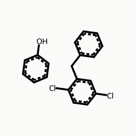 Clc1ccc(Cl)c(Cc2ccccc2)c1.Oc1ccccc1